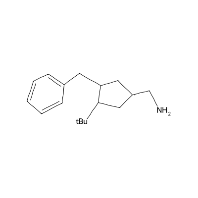 CC(C)(C)C1C[C](CN)CC1Cc1ccccc1